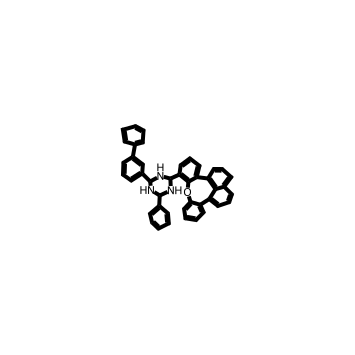 c1ccc(-c2cccc(C3NC(c4ccccc4)NC(c4cccc5c4Oc4ccccc4-c4cccc6cccc-5c46)N3)c2)cc1